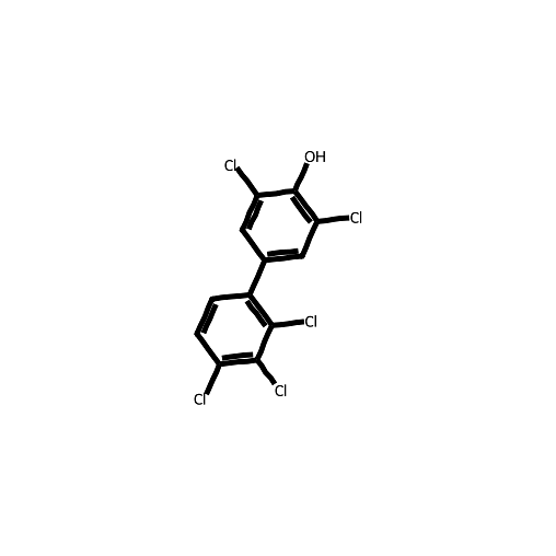 Oc1c(Cl)cc(-c2ccc(Cl)c(Cl)c2Cl)cc1Cl